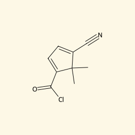 CC1(C)C(C#N)=CC=C1C(=O)Cl